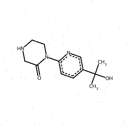 CC(C)(O)c1ccc(N2CCNCC2=O)nc1